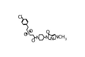 CN1C=C2C(=O)N(C3CCN(C(=O)CCS(=O)(=O)CCc4ccc(Cl)cc4)CC3)CN2C1